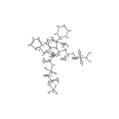 CC(C)S(=O)(=O)NCC(O)CC(O)C(C(=O)[C@H](Cc1ccccc1)NC(=O)CC(C)(C)NC(=O)OC(C)(C)C)C(N)(N)C1CCCCC1